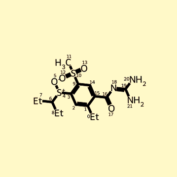 CCc1cc([S+]([O-])C(CC)CC)c(S(C)(=O)=O)cc1C(=O)N=C(N)N